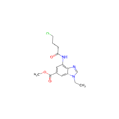 CCn1cnc2c(NC(=O)CCCCl)cc(C(=O)OC)cc21